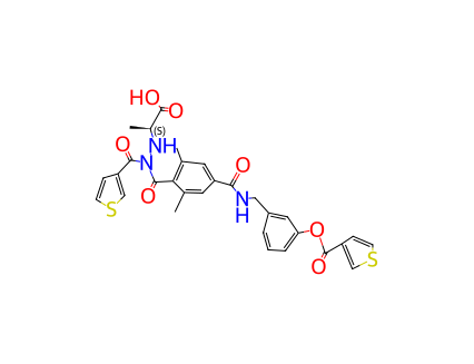 Cc1cc(C(=O)NCc2cccc(OC(=O)c3ccsc3)c2)cc(C)c1C(=O)N(N[C@@H](C)C(=O)O)C(=O)c1ccsc1